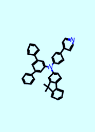 CC1(C)c2ccccc2-c2ccc(N(c3ccc(-c4ccncc4)cc3)c3cc(-c4ccccc4)cc(-c4ccccc4)c3)cc21